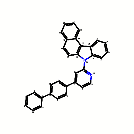 c1ccc(-c2ccc(-c3ccnc(-n4c5ccccc5c5c6ccccc6ccc54)c3)cc2)cc1